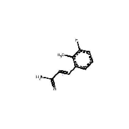 Cc1c(F)cccc1/C=C/C(N)=O